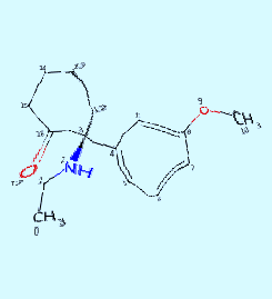 CCN[C@]1(c2cccc(OC)c2)CCCCC1=O